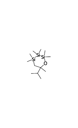 CC(C)C1(C)C[Si](C)(C)[Si](C)(C)[Si](C)(C)O1